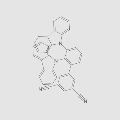 N#Cc1cc(C#N)cc(-c2cccc(-n3c4ccccc4c4ccccc43)c2-n2c3ccccc3c3ccccc32)c1